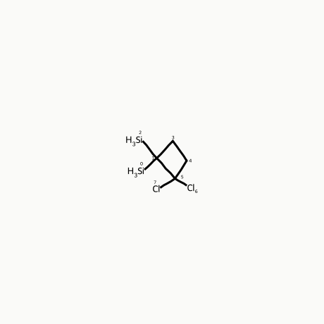 [SiH3]C1([SiH3])CCC1(Cl)Cl